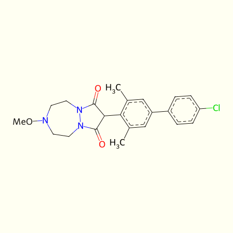 CON1CCN2C(=O)C(c3c(C)cc(-c4ccc(Cl)cc4)cc3C)C(=O)N2CC1